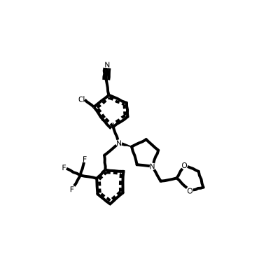 N#Cc1ccc(N(Cc2ccccc2C(F)(F)F)[C@H]2CCN(CC3OCCO3)C2)cc1Cl